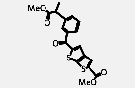 COC(=O)c1cc2cc(C(=O)c3cccc(C(C)C(=O)OC)c3)sc2s1